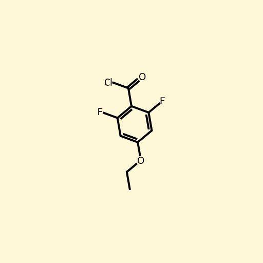 CCOc1cc(F)c(C(=O)Cl)c(F)c1